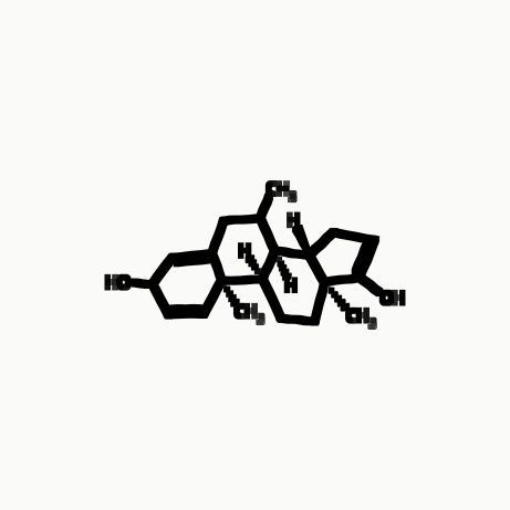 CC1CC2=CC(O)C=C[C@]2(C)[C@@H]2CC[C@]3(C)C(O)=CC[C@H]3[C@H]12